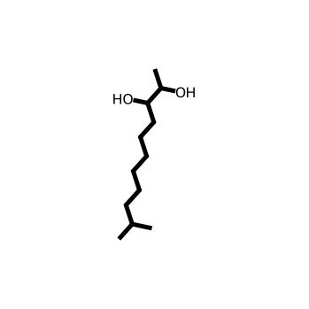 CC(C)CCCCCCC(O)C(C)O